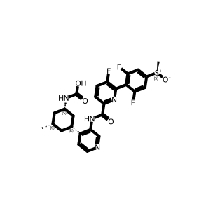 C[C@@H]1C[C@H](NC(=O)O)C[C@H](c2ccncc2NC(=O)c2ccc(F)c(-c3c(F)cc([S@@+](C)[O-])cc3F)n2)C1